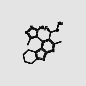 Cc1noc(C)c1-c1c([C@H](OC(C)(C)C)C(=O)O)c(C)nc2sc3c(c12)CCCC3